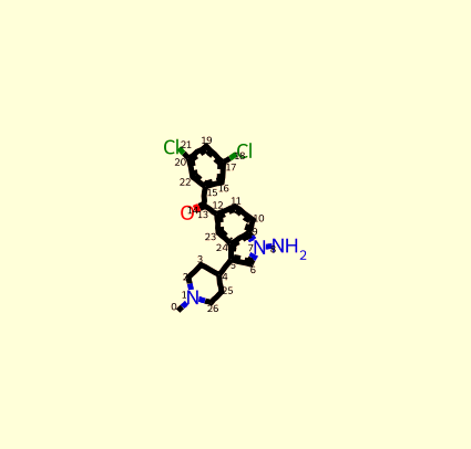 CN1CCC(c2cn(N)c3ccc(C(=O)c4cc(Cl)cc(Cl)c4)cc23)CC1